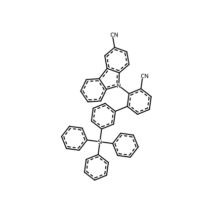 N#Cc1ccc2c(c1)c1ccccc1n2-c1c(C#N)cccc1-c1cccc([Si](c2ccccc2)(c2ccccc2)c2ccccc2)c1